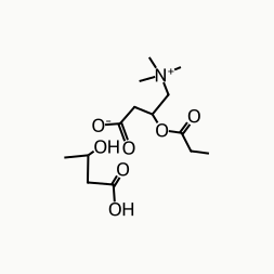 CC(O)CC(=O)O.CCC(=O)OC(CC(=O)[O-])C[N+](C)(C)C